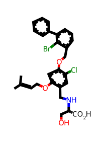 CC(C)=CCOc1cc(OCc2cccc(-c3ccccc3)c2Br)c(Cl)cc1CNC(CO)C(=O)O